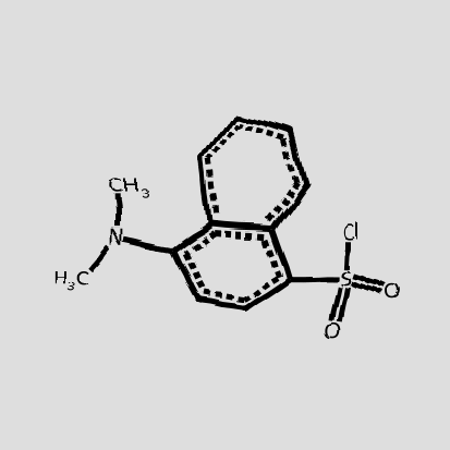 CN(C)c1ccc(S(=O)(=O)Cl)c2ccccc12